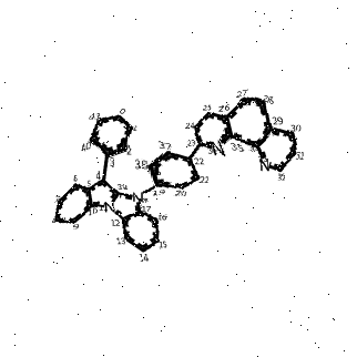 c1ccc(-c2c3ccccc3n3c4ccccc4n(-c4ccc(-c5ccc6ccc7cccnc7c6n5)cc4)c23)cc1